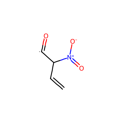 C=CC([C]=O)[N+](=O)[O-]